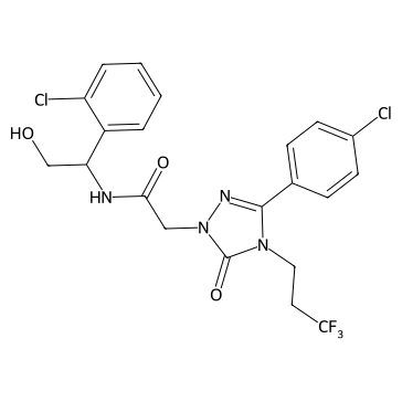 O=C(Cn1nc(-c2ccc(Cl)cc2)n(CCC(F)(F)F)c1=O)NC(CO)c1ccccc1Cl